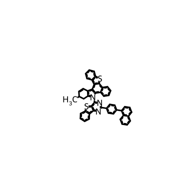 CC1C=Cc2c(n(-c3nc(-c4ccc(-c5cccc6ccccc56)cc4)nc4c3sc3ccccc34)c3c4ccccc4c4sc5ccccc5c4c23)C1